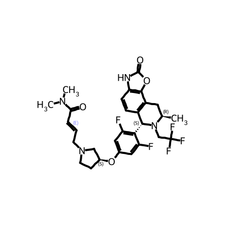 C[C@@H]1Cc2c(ccc3[nH]c(=O)oc23)[C@@H](c2c(F)cc(O[C@H]3CCN(C/C=C/C(=O)N(C)C)C3)cc2F)N1CC(F)(F)F